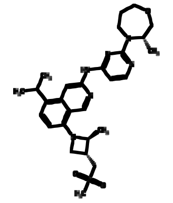 CC(C)c1ccc(N2C[C@@H](CS(C)(=O)=O)[C@@H]2C)c2cnc(Nc3ccnc(N4CCCOC[C@@H]4C)n3)cc12